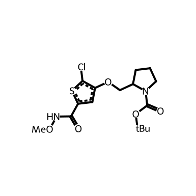 CONC(=O)c1cc(OCC2CCCN2C(=O)OC(C)(C)C)c(Cl)s1